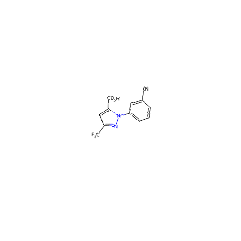 N#Cc1cccc(-n2nc(C(F)(F)F)cc2C(=O)O)c1